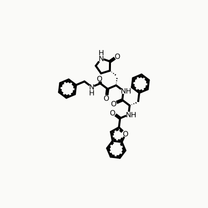 O=C(NCc1ccccc1)C(=O)[C@H](C[C@@H]1CCNC1=O)NC(=O)[C@H](Cc1ccccc1)NC(=O)c1cc2ccccc2o1